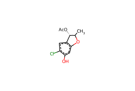 CC(=O)O[C@H]1c2cc(Cl)c(O)cc2OC1C